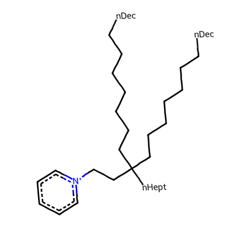 CCCCCCCCCCCCCCCCCC(CCCCCCC)(CCCCCCCCCCCCCCCCC)CC[n+]1ccccc1